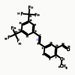 COc1ccc(/C=C/c2cc(C(F)(F)F)cc(C(F)(F)F)c2)cc1C=O